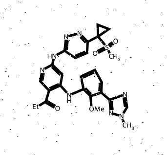 CCC(=O)c1cnc(Nc2ccc(C3(S(C)(=O)=O)CC3)nn2)cc1Nc1cccc(-c2ncn(C)n2)c1OC